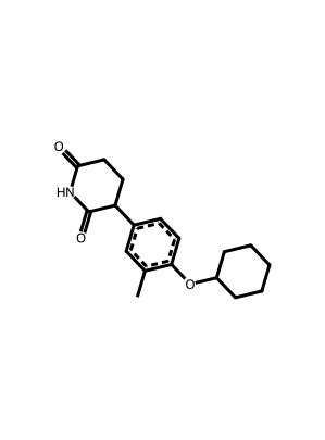 Cc1cc(C2CCC(=O)NC2=O)ccc1OC1CCCCC1